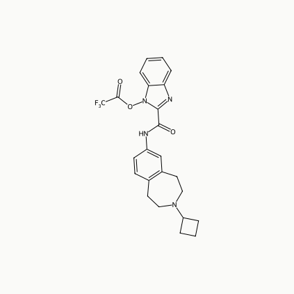 O=C(Nc1ccc2c(c1)CCN(C1CCC1)CC2)c1nc2ccccc2n1OC(=O)C(F)(F)F